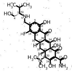 CC(C)[C@@H](CO)NCc1cc(O)c2c(c1F)C[C@H]1C[C@H]3[C@H](N(C)C)C(O)=C(C(N)=O)C(=O)[C@@]3(O)C(O)=C1C2=O